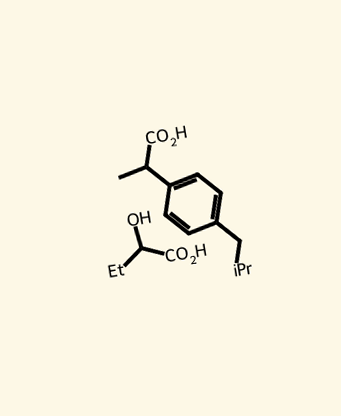 CC(C)Cc1ccc(C(C)C(=O)O)cc1.CCC(O)C(=O)O